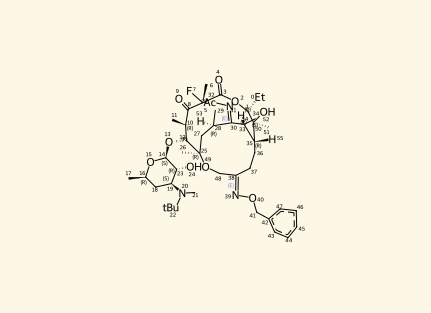 CC[C@H]1OC(=O)[C@@](C)(F)C(=O)[C@H](C)[C@@H](O[C@@H]2O[C@H](C)C[C@H](N(C)C(C)(C)C)[C@H]2O)[C@@]2(C)C[C@@H](C)/C(=N\C(C)=O)[C@H](C)[C@@H](CC/C(=N\OCc3ccccc3)CO2)[C@]1(C)O